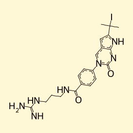 CC(C)(I)c1cc2cn(-c3ccc(C(=O)NCCCNC(=N)N)cc3)c(=O)nc2[nH]1